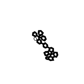 c1ccc(C2(c3ccccc3)c3ccccc3Oc3ccc(-c4ccc(-c5cccc6c5-c5ccccc5C65c6ccccc6-c6ccc7ccccc7c65)cc4)cc32)cc1